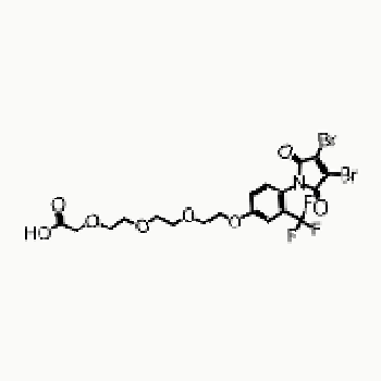 O=C(O)COCCOCCOCCOc1ccc(N2C(=O)C(Br)=C(Br)C2=O)c(C(F)(F)F)c1